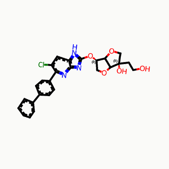 OCC[C@@]1(O)COC2C1OC[C@H]2Oc1nc2nc(-c3ccc(-c4ccccc4)cc3)c(Cl)cc2[nH]1